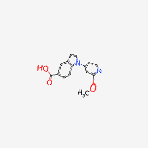 COc1cc(-n2ccc3cc(C(=O)O)ccc32)ccn1